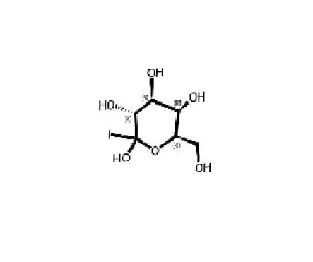 OC[C@H]1OC(O)(I)[C@H](O)[C@@H](O)[C@H]1O